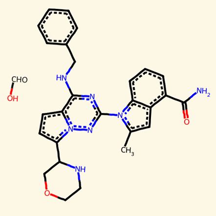 Cc1cc2c(C(N)=O)cccc2n1-c1nc(NCc2ccccc2)c2ccc(C3COCCN3)n2n1.O=CO